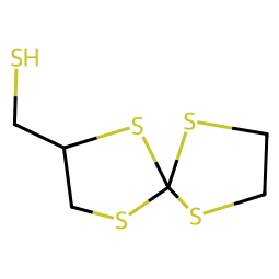 SCC1CSC2(SCCS2)S1